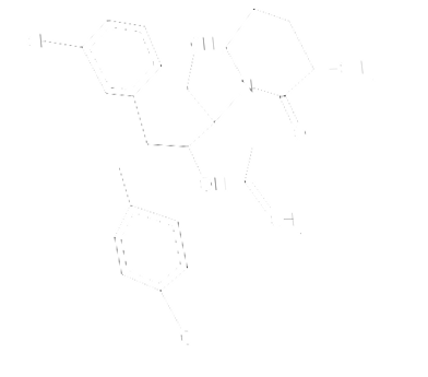 C=CC[C@@](CC)(C(O)[C@H](Cc1ccc(Cl)cc1)c1cccc(Cl)c1)N1CCCC(C)C1=O